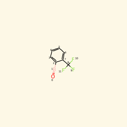 O=Bc1ccccc1C(F)(F)F